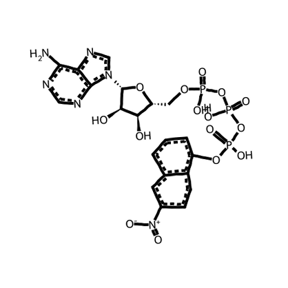 Nc1ncnc2c1ncn2[C@@H]1O[C@H](COP(=O)(O)OP(=O)(O)OP(=O)(O)Oc2cccc3cc([N+](=O)[O-])ccc23)[C@@H](O)[C@H]1O